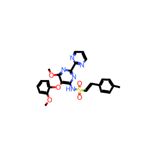 COc1ccccc1Oc1c(NS(=O)(=O)C=Cc2ccc(C)cc2)nc(-c2ncccn2)nc1OC